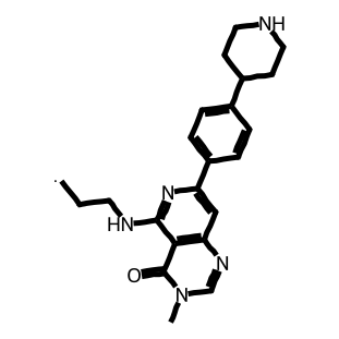 [CH2]CCNc1nc(-c2ccc(C3CCNCC3)cc2)cc2ncn(C)c(=O)c12